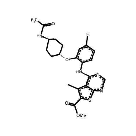 COC(=O)c1sc2ncnc(Nc3ccc(F)cc3O[C@H]3CC[C@H](NC(=O)C(F)(F)F)CC3)c2c1C